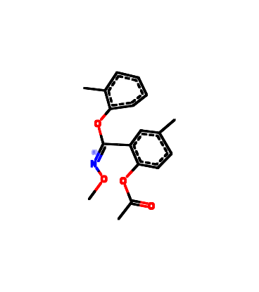 CO/N=C(/Oc1ccccc1C)c1cc(C)ccc1OC(C)=O